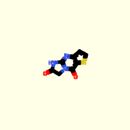 O=C1Cn2c(nc3ccsc3c2=O)N1